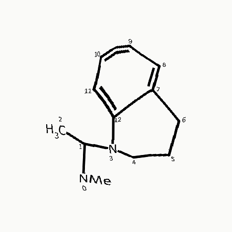 CNC(C)N1CCCc2ccccc21